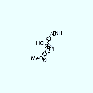 COC(=O)c1ccc(CNS(=O)(=O)CCc2ccc(CN3CCNCC3)cc2)c(F)c1.Cl